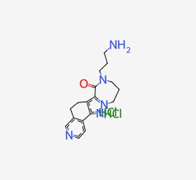 Cl.Cl.NCCCN1CCCn2nc3c(c2C1=O)CCc1cnccc1-3